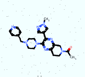 CC(=O)N1CCc2nc(N3CCN(Cc4ccncc4)CC3)c(-c3cnn(C)c3)nc2C1